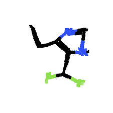 CCC1=C(C(F)F)[N][C]=N1